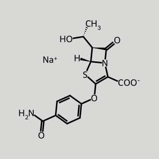 C[C@@H](O)[C@H]1C(=O)N2C(C(=O)[O-])=C(Oc3ccc(C(N)=O)cc3)S[C@H]12.[Na+]